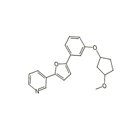 COC1CCC(Oc2cccc(-c3ccc(-c4cccnc4)o3)c2)C1